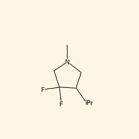 CC(C)C1CN(C)CC1(F)F